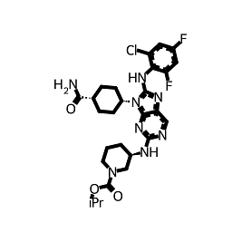 CC(C)OC(=O)N1CCC[C@@H](Nc2ncc3nc(Nc4c(F)cc(F)cc4Cl)n([C@H]4CC[C@@H](C(N)=O)CC4)c3n2)C1